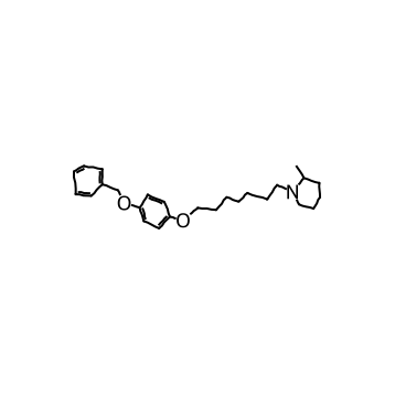 CC1CCCCN1CCCCCCCOc1ccc(OCc2ccccc2)cc1